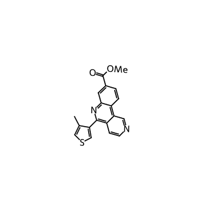 COC(=O)c1ccc2c(c1)nc(-c1cscc1C)c1ccncc12